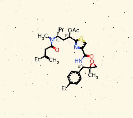 C=C(CC)CC(=O)N(C)[C@H](C[C@@H](OC(C)=O)c1nc(C(=O)N[C@@H](c2ccc(CC)cc2)C2(C)CO2)cs1)C(C)C